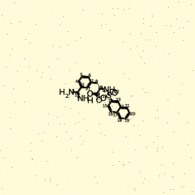 N=C(N)c1cccc(C[C@H](NS(=O)(=O)c2ccc3ccccc3c2)C(=O)O)c1